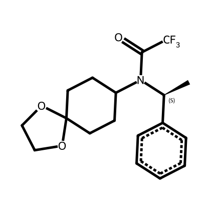 C[C@@H](c1ccccc1)N(C(=O)C(F)(F)F)C1CCC2(CC1)OCCO2